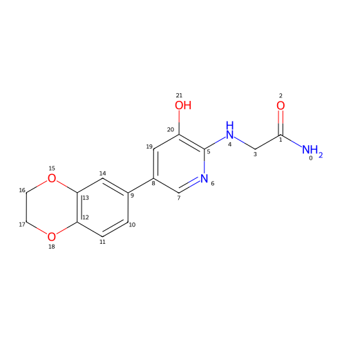 NC(=O)CNc1ncc(-c2ccc3c(c2)OCCO3)cc1O